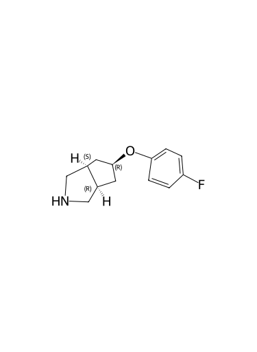 Fc1ccc(O[C@H]2C[C@H]3CNC[C@H]3C2)cc1